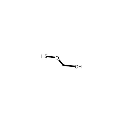 OCOS